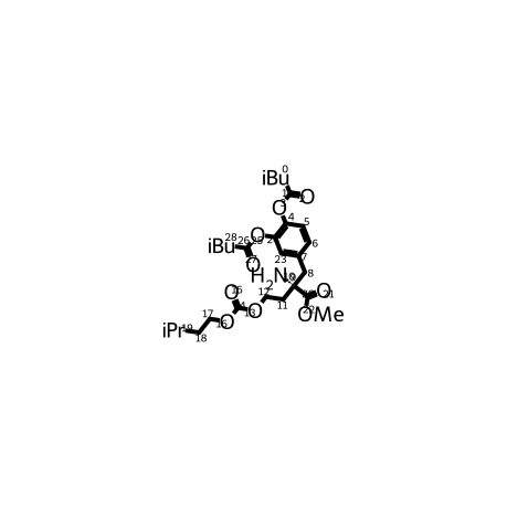 CCC(C)C(=O)Oc1ccc(C[C@](N)(CCOC(=O)OCCC(C)C)C(=O)OC)cc1OC(=O)C(C)CC